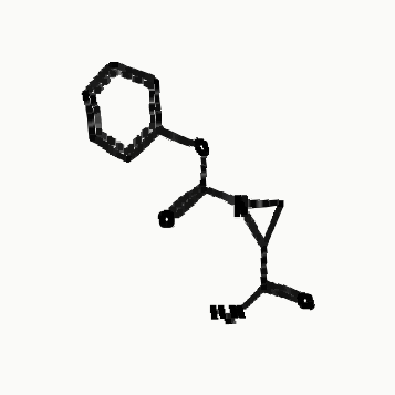 NC(=O)C1CN1C(=O)Oc1ccccc1